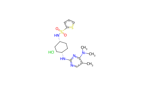 Cc1cnc(N[C@H]2CC[C@@H](NS(=O)(=O)c3cccs3)CC2)nc1N(C)C.Cl